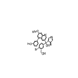 C=C1C=NC=C1C(O)(c1ccc(Br)c(CO)c1)c1cnc2cc(OC)cc(-c3cccc(O)c3)c2c1